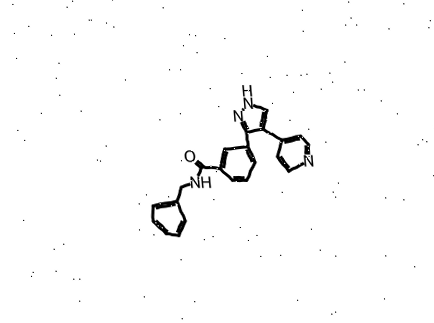 O=C(NCc1ccccc1)c1cccc(-c2n[nH]cc2-c2ccncc2)c1